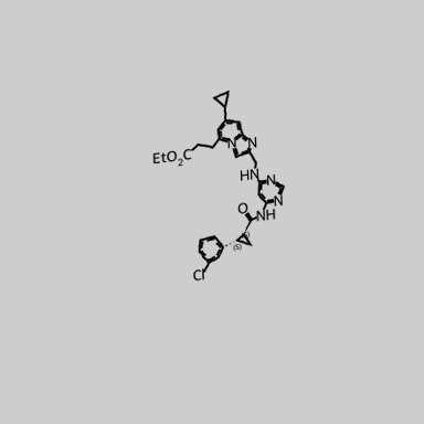 CCOC(=O)CCc1cc(C2CC2)cc2nc(CNc3cc(NC(=O)[C@H]4C[C@@H]4c4cccc(Cl)c4)ncn3)cn12